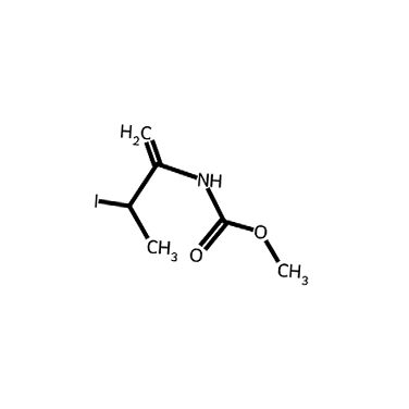 C=C(NC(=O)OC)C(C)I